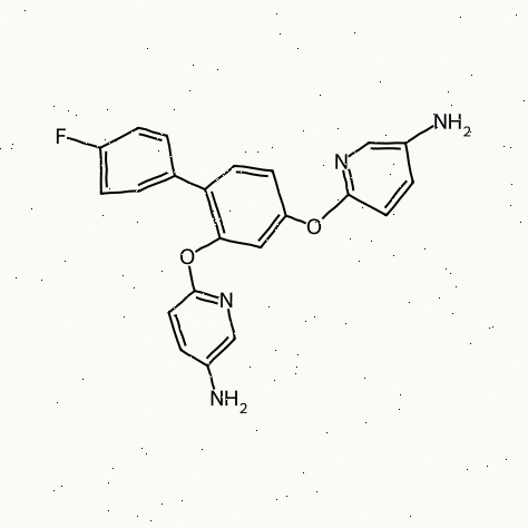 Nc1ccc(Oc2ccc(-c3ccc(F)cc3)c(Oc3ccc(N)cn3)c2)nc1